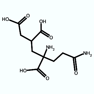 NC(=O)CCC(N)(CC(CC(=O)O)C(=O)O)C(=O)O